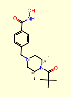 C[C@@H]1CN(Cc2ccc(C(=O)NO)cc2)C[C@H](C)N1C(=O)C(C)(C)C